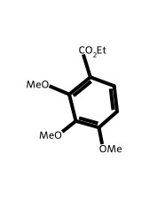 CCOC(=O)c1ccc(OC)c(OC)c1OC